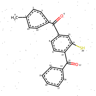 Cc1ccc(C(=O)c2ccc(C(=O)c3ccccc3)c(S)c2)cc1